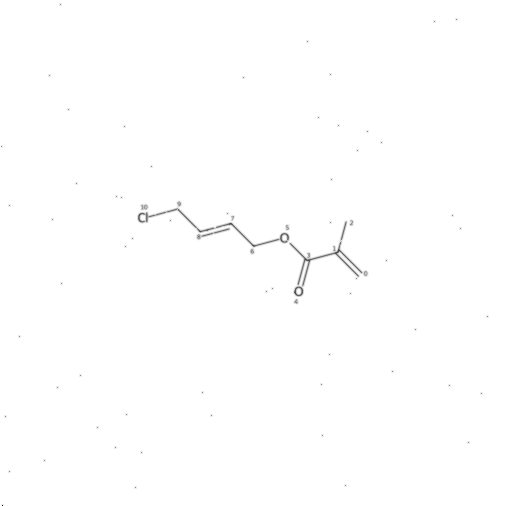 C=C(C)C(=O)OCC=CCCl